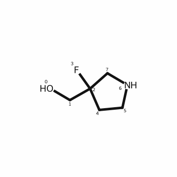 OCC1(F)CCNC1